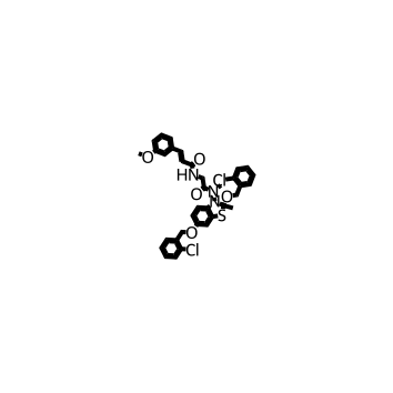 COc1cccc(/C=C/C(=O)NCC(=O)N(C)N2c3ccc(OCc4ccccc4Cl)cc3SC2(C)OCc2ccccc2Cl)c1